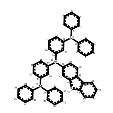 c1ccc(N(c2ccccc2)c2cccc(N(c3cccc(N(c4ccccc4)c4ccccc4)c3)c3ccc4c(c3)sc3ccccc34)c2)cc1